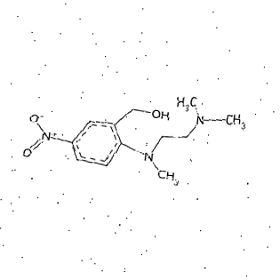 CN(C)CCN(C)c1ccc([N+](=O)[O-])cc1CO